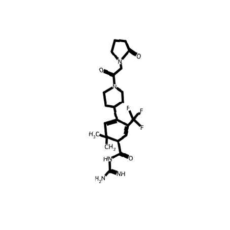 CC1(C)C=C(C2CCN(C(=O)CN3CCCC3=O)CC2)C(C(F)(F)F)=CC1C(=O)NC(=N)N